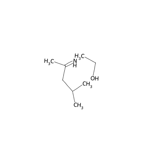 CC(=N)CC(C)C.CCO